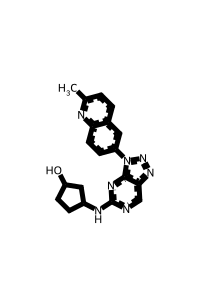 Cc1ccc2cc(-n3nnc4cnc(NC5CCC(O)C5)nc43)ccc2n1